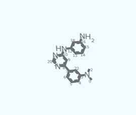 CN(C)c1cccc(-c2cc(Nc3cccc(N)c3)ncn2)c1